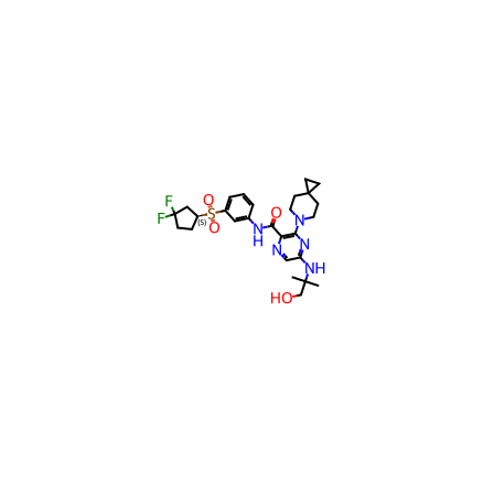 CC(C)(CO)Nc1cnc(C(=O)Nc2cccc(S(=O)(=O)[C@H]3CCC(F)(F)C3)c2)c(N2CCC3(CC2)CC3)n1